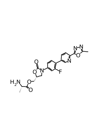 Cc1nnc(-c2ccc(-c3ccc(N4C[C@H](COC(=O)[C@H](C)N)OC4=O)cc3F)cn2)o1